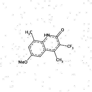 COc1cc(C)c2[nH]c(=O)c(C(F)(F)F)c(C)c2c1